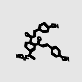 C=C(C(=O)O)c1ccc(C(=O)C=Cc2ccc(O)cc2)c(C(=O)C=Cc2ccc(O)cc2)c1